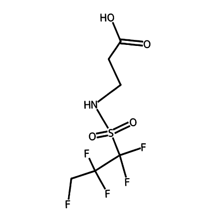 O=C(O)CCNS(=O)(=O)C(F)(F)C(F)(F)CF